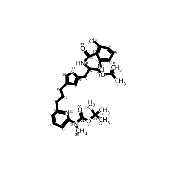 C=C(C)OC(=O)C(Cc1cc(CCCc2cccc(N(C)C(=O)OC(C)(C)C)n2)cs1)NC(=O)c1c(Cl)cccc1Cl